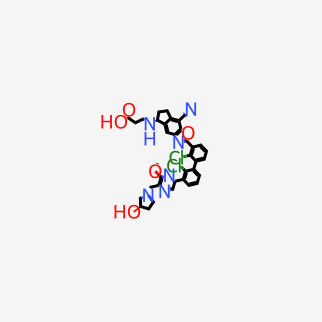 COc1nc(-c2cccc(-c3cccc(-c4nc5cc6c(c(C#N)c5o4)CC[C@@H]6NCCC(=O)O)c3Cl)c2Cl)cnc1CN1CC[C@@H](O)C1